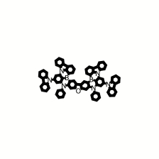 c1ccc(N2c3cc4oc5cc6c(cc5c4cc3B3c4c2cc(-n2c5ccccc5c5ccccc52)cc4-n2c4ccccc4c4cccc3c42)B2c3c(cc(-n4c5ccccc5c5ccccc54)cc3-n3c4ccccc4c4cccc2c43)N6c2ccccc2)cc1